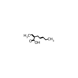 C/C=C(/C/C=C/CC)C(=O)O